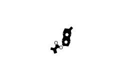 C=C(C)C(=O)OC1CC2CC1C1C3CC(C)C(C3)C21